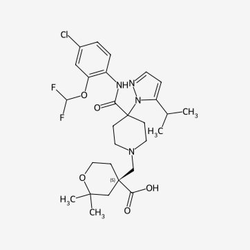 CC(C)c1ccnn1C1(C(=O)Nc2ccc(Cl)cc2OC(F)F)CCN(C[C@]2(C(=O)O)CCOC(C)(C)C2)CC1